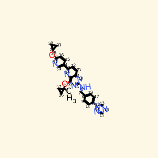 CC1(Oc2nc(NCc3ccc(-n4cncn4)cc3)nc3ccc(-c4ccc(OC5CC5)nc4)nc23)CC1